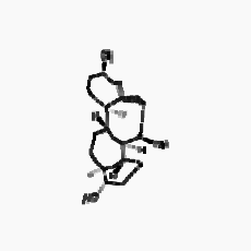 C[C@]12CC[C@H]3[C@@H]([C@H](O)C=C4C[C@H](O)CC[C@@]43C)[C@@H]1CC[C@@H]2O